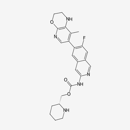 Cc1c(-c2cc3cc(NC(=O)OC[C@H]4CCCCN4)ncc3cc2F)cnc2c1NCCO2